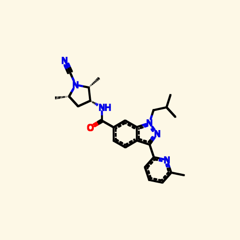 Cc1cccc(-c2nn(CC(C)C)c3cc(C(=O)N[C@@H]4C[C@H](C)N(C#N)[C@@H]4C)ccc23)n1